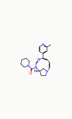 Cc1cc(C2=CC=CN3CC[C@@H](C3)N(C(=O)N3CCCCC3)C=N2)ccn1